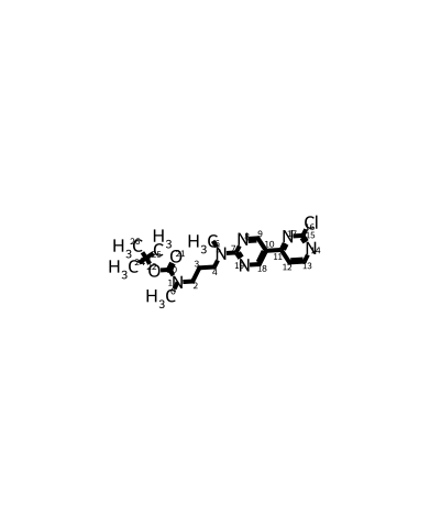 CN(CCCN(C)c1ncc(-c2ccnc(Cl)n2)cn1)C(=O)OC(C)(C)C